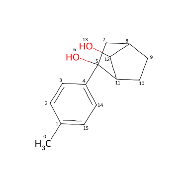 Cc1ccc(C2(O)CC3CCC2C3O)cc1